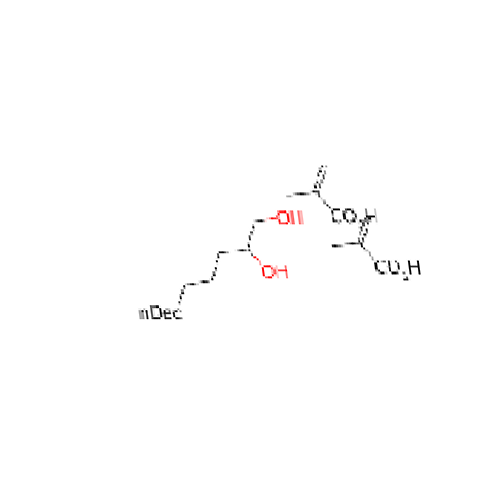 C=C(C)C(=O)O.C=C(C)C(=O)O.CCCCCCCCCCCCCC(O)CO